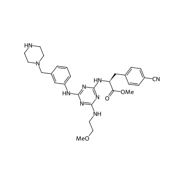 COCCNc1nc(Nc2cccc(CN3CCNCC3)c2)nc(N[C@@H](Cc2ccc(C#N)cc2)C(=O)OC)n1